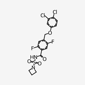 O=C(NS(=O)(=O)N1CCC1)c1cc(F)c(COc2ccc(Cl)c(Cl)c2)cc1F